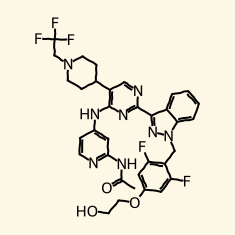 CC(=O)Nc1cc(Nc2nc(-c3nn(Cc4c(F)cc(OCCO)cc4F)c4ccccc34)ncc2C2CCN(CC(F)(F)F)CC2)ccn1